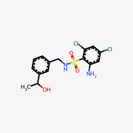 CC(O)c1cccc(CNS(=O)(=O)c2c(N)cc(Cl)cc2Cl)c1